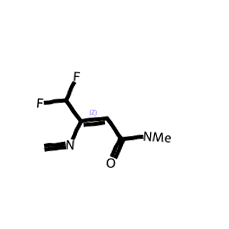 C=N/C(=C\C(=O)NC)C(F)F